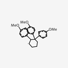 COc1ccc(C2[CH]CCCC2(c2ccc(OC)cc2)c2ccc(OC)cc2)cc1